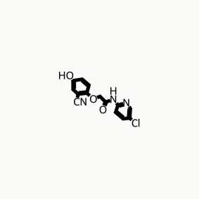 N#Cc1cc(O)ccc1OCC(=O)Nc1ccc(Cl)cn1